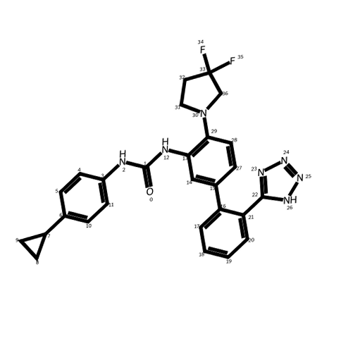 O=C(Nc1ccc(C2CC2)cc1)Nc1cc(-c2ccccc2-c2nnn[nH]2)ccc1N1CCC(F)(F)C1